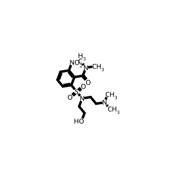 CN(C)CCN(CCO)S(=O)(=O)c1cccc([N+](=O)[O-])c1C(=O)N(C)C